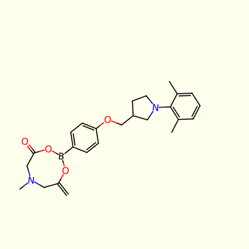 C=C1CN(C)CC(=O)OB(c2ccc(OCC3CCN(c4c(C)cccc4C)C3)cc2)O1